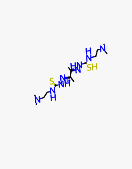 CC(=N\NC(=S)NCCN(C)C)/C(C)=N/NC(S)NCCN(C)C